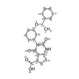 CC(Oc1cccc(-n2c(=O)[nH]c3scc(C(=O)O)c3c2=O)c1)c1ccccc1